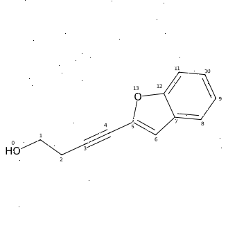 OCCC#Cc1cc2ccccc2o1